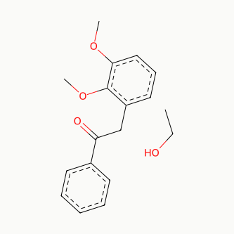 CCO.COc1cccc(CC(=O)c2ccccc2)c1OC